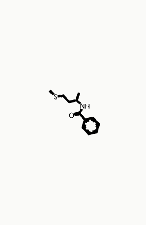 CSCCC(C)NC(=O)c1ccccc1